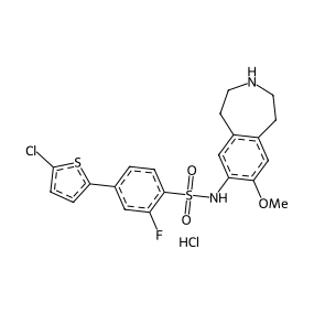 COc1cc2c(cc1NS(=O)(=O)c1ccc(-c3ccc(Cl)s3)cc1F)CCNCC2.Cl